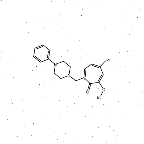 CCOc1cc(C(C)C)ccc(CN2CCN(c3ccccc3)CC2)c1=O